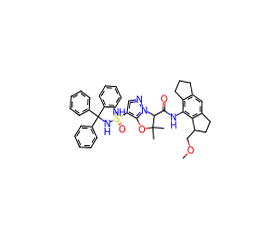 COCC1CCc2cc3c(c(NC(=O)C4n5ncc(S(=N)(=O)NC(c6ccccc6)(c6ccccc6)c6ccccc6)c5OC4(C)C)c21)CCC3